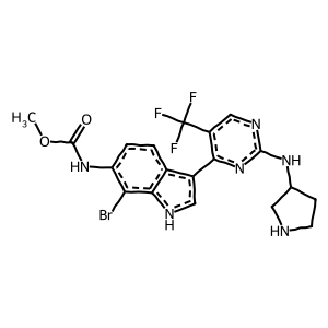 COC(=O)Nc1ccc2c(-c3nc(NC4CCNC4)ncc3C(F)(F)F)c[nH]c2c1Br